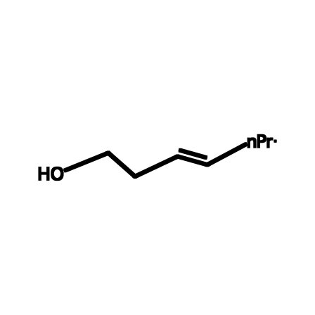 CC[CH]C=CCCO